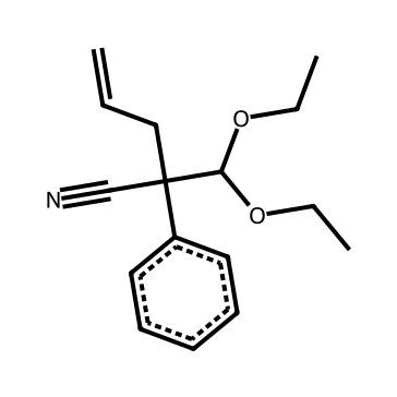 C=CCC(C#N)(c1ccccc1)C(OCC)OCC